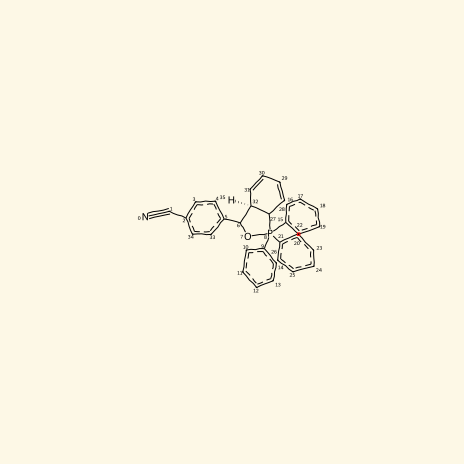 N#Cc1ccc(C2OP(c3ccccc3)(c3ccccc3)(c3ccccc3)C3C=CC=C[C@H]23)cc1